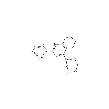 c1cc(-c2nc3c(c(N4CCSCC4)n2)CCCC3)ccn1